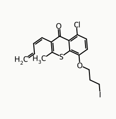 C=C/C=C\c1c(C)sc2c(OCCCI)ccc(Cl)c2c1=O